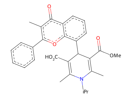 COC(=O)C1=C(C)N(C(C)C)C(C)=C(C(=O)O)C1c1cccc2c(=O)c(C)c(-c3ccccc3)oc12